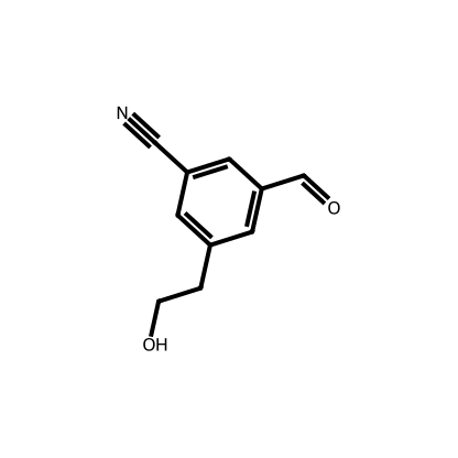 N#Cc1cc(C=O)cc(CCO)c1